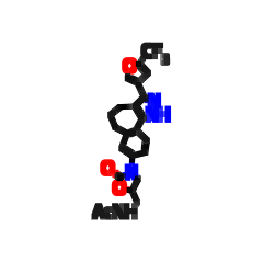 CC(=O)NCC1CN(c2ccc3c(c2)CCCc2c(-c4coc(C(F)(F)F)c4)n[nH]c2-3)C(=O)O1